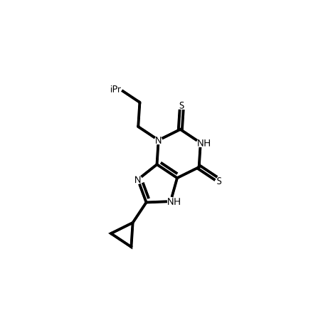 CC(C)CCn1c(=S)[nH]c(=S)c2[nH]c(C3CC3)nc21